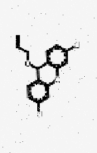 C=CCOC1c2ccc(Cl)cc2Oc2cc(Cl)ccc21